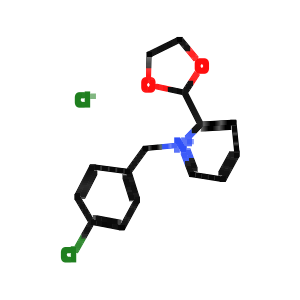 Clc1ccc(C[n+]2ccccc2C2OCCO2)cc1.[Cl-]